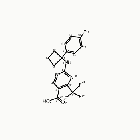 O=C(O)c1cnc(NC2(c3ccc(F)cc3)CCC2)nc1C(F)(F)F